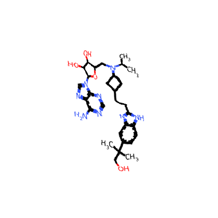 CC(C)N(CC1OC(n2cnc3c(N)ncnc32)C(O)C1O)C1CC(CCc2nc3cc(C(C)(C)CO)ccc3[nH]2)C1